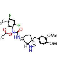 COc1ccc(C[C@@]23CCN[C@H]2C[C@H](NC(=O)N(OC(=O)C(F)(F)F)c2cc(C(F)(F)F)c(F)cc2F)CC3)cc1OC